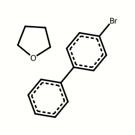 Brc1ccc(-c2ccccc2)cc1.C1CCOC1